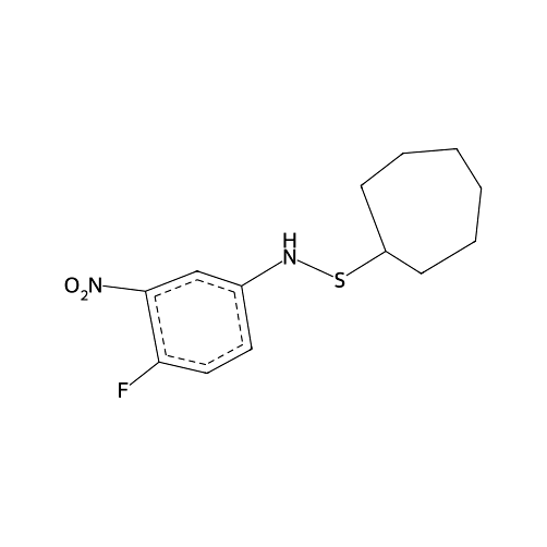 O=[N+]([O-])c1cc(NSC2CCCCCC2)ccc1F